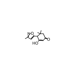 Cc1cc(C2C(O)=CC(=O)CC2(C)C)on1